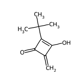 C=C1C(=O)C(C(C)(C)C)=C1O